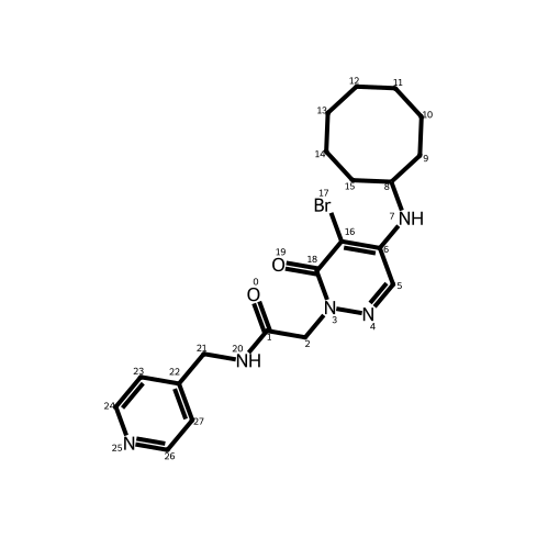 O=C(Cn1ncc(NC2CCCCCCC2)c(Br)c1=O)NCc1ccncc1